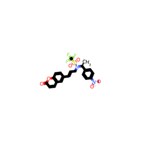 C[C@@H](c1ccc([N+](=O)[O-])cc1)N(C/C=C/c1ccc2oc(=O)ccc2c1)S(=O)(=O)C(F)(F)F